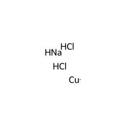 Cl.Cl.[Cu].[NaH]